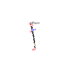 CCCCCC(=O)OCCCNC(=O)CCCCCCCCCCSCCO